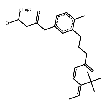 C=C(/C=C\C(=C/C)C(C)(C)I)CCCc1cc(CC(=O)CC(CC)CCCCCCC)ccc1C